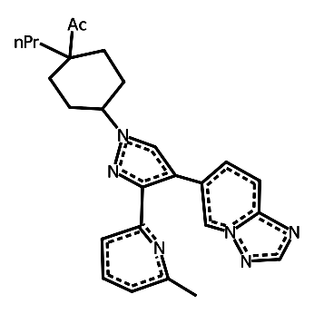 CCCC1(C(C)=O)CCC(n2cc(-c3ccc4ncnn4c3)c(-c3cccc(C)n3)n2)CC1